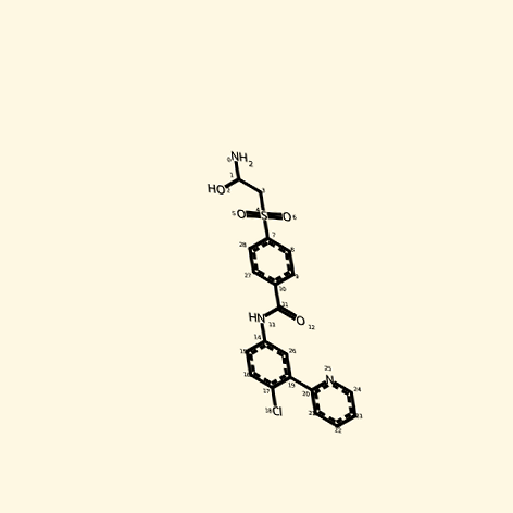 NC(O)CS(=O)(=O)c1ccc(C(=O)Nc2ccc(Cl)c(-c3ccccn3)c2)cc1